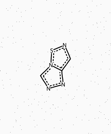 c1nsn2cnnc12